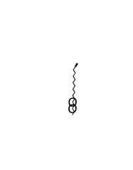 C#CCCCCCCCCCCOCOCC